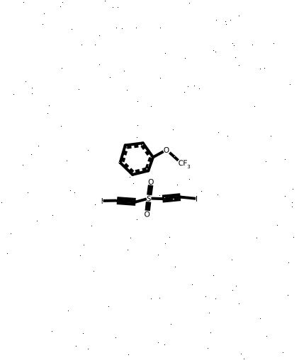 FC(F)(F)Oc1ccccc1.O=S(=O)(C#CI)C#CI